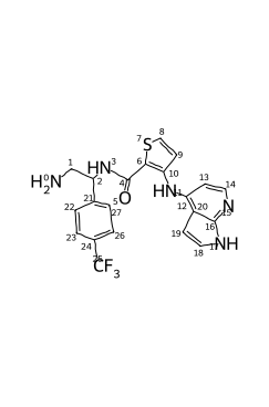 NCC(NC(=O)c1sccc1Nc1ccnc2[nH]ccc12)c1ccc(C(F)(F)F)cc1